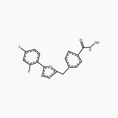 O=C(NO)c1ccc(Cc2nnc(-c3ccc(F)cc3F)o2)cc1